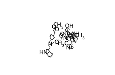 COC(=O)/C=C/c1ccc(CN(CCOCCC(=O)NC(C(=O)N2C[C@H](O)C[C@H]2C(=O)N[C@@H](C)c2ccc(-c3scnc3C)cc2)C(C)(C)C)CCc2c[nH]c3ccccc23)cc1